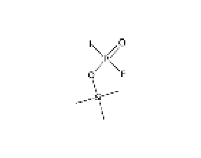 C[Si](C)(C)OP(=O)(F)I